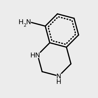 Nc1cccc2c1NCNC2